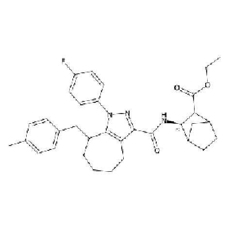 CCOC(=O)C1C2CCC(C2)[C@H]1NC(=O)c1nn(-c2ccc(F)cc2)c2c1CCCCC2Cc1ccc(C)cc1